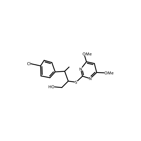 COc1cc(OC)nc(SC(CO)C(C)c2ccc(Cl)cc2)n1